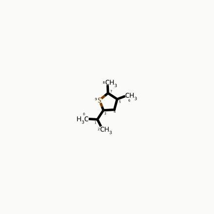 CC(C)C1CC(C)C(C)S1